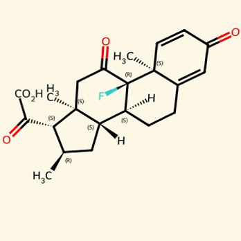 C[C@@H]1C[C@H]2[C@@H]3CCC4=CC(=O)C=C[C@]4(C)[C@@]3(F)C(=O)C[C@]2(C)[C@H]1C(=O)C(=O)O